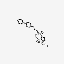 Cn1ccc2c1C(O)CCN(CCCN1CCN(c3ccccc3)CC1)C2=O